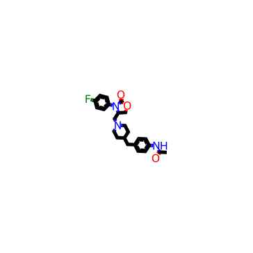 CC(=O)Nc1ccc(CC2CCN(CC3COC(=O)N3c3ccc(F)cc3)CC2)cc1